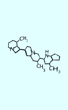 CC1CC(C2CN3CCC(C4CN5CCCC(C)C45)=CC3CC2C)NC2CCCC12